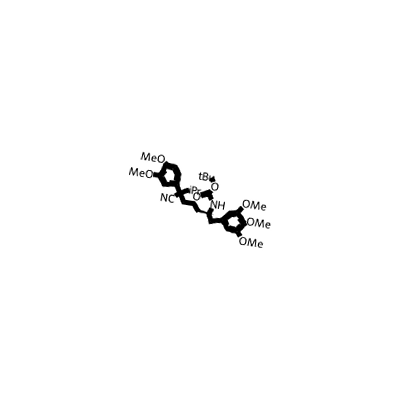 COc1ccc(C(C#N)(CCC[C@H](Cc2cc(OC)c(OC)c(OC)c2)NC(=O)OC(C)(C)C)C(C)C)cc1OC